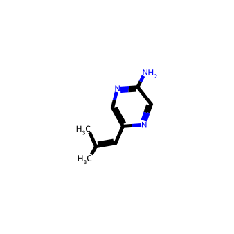 CC(C)=Cc1cnc(N)cn1